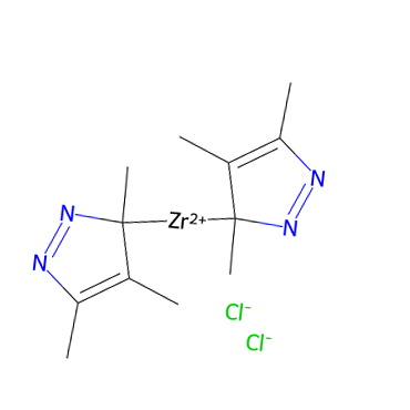 CC1=C(C)[C](C)([Zr+2][C]2(C)N=NC(C)=C2C)N=N1.[Cl-].[Cl-]